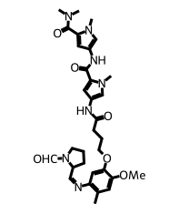 COc1cc(C)c(/N=C\C2CCCN2C=O)cc1OCCCC(=O)Nc1cc(C(=O)Nc2cc(C(=O)N(C)C)n(C)c2)n(C)c1